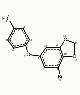 FC(F)(F)c1ccc(Oc2cc(Br)c3c(c2)OCO3)cc1